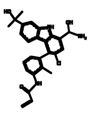 C=CC(=O)Nc1cccc(-c2c(Cl)cc(C(N)O)c3[nH]c4cc(C(C)(C)O)ccc4c23)c1C